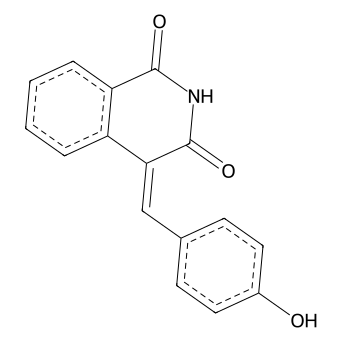 O=C1NC(=O)c2ccccc2C1=Cc1ccc(O)cc1